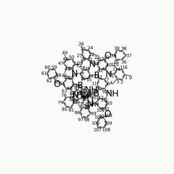 Cc1cc(C)c(N2c3cc4c(cc3B3c5cc6c(cc5N(c5c(C)cc(C)cc5C)c5cc(Oc7ccccc7)cc2c53)N(c2c(C)cc(C)cc2C)c2cc(Oc3ccccc3)cc3c2B6c2[nH]c5ccccc5c2N3c2ccccc2)B2c3[nH]c5ccccc5c3N(c3ccccc3)c3cc(Oc5ccccc5)cc(c32)N4)c(C)c1